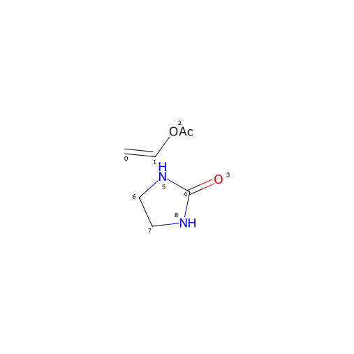 C=COC(C)=O.O=C1NCCN1